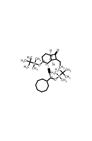 CCC1C(=O)[C@@H]2CC[C@H](O[Si](C)(C)C(C)(C)C)[C@@H](C#C[C@@H](O[Si](C)(C)C(C)(C)C)C3CCCCCCC3)[C@H]12